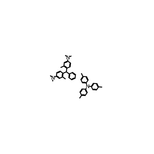 Cc1cc(N(C)C)ccc1C(c1ccccc1)c1ccc(N(C)C)cc1C.Cc1ccc(N(c2ccc(C)cc2)c2ccc(C)cc2)cc1